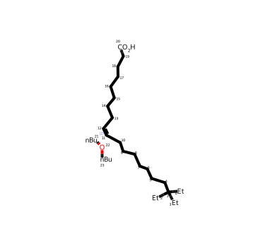 CCC(CC)(CC)CCCCCCC/C=C\CCCCCCCC(=O)O.CCCCOCCCC